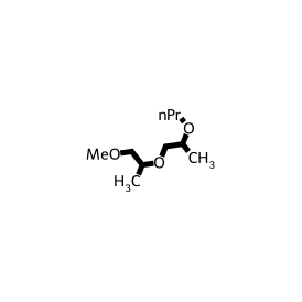 C[CH]COC(C)COC(C)COC